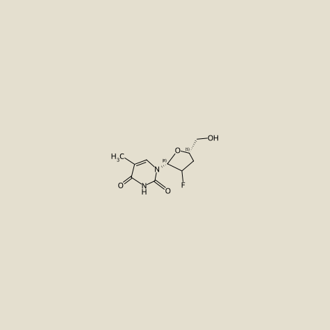 Cc1cn([C@@H]2O[C@H](CO)CC2F)c(=O)[nH]c1=O